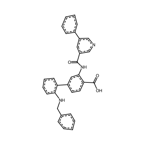 O=C(Nc1cc(-c2ccccc2NCc2ccccc2)ccc1C(=O)O)c1cncc(-c2ccccc2)c1